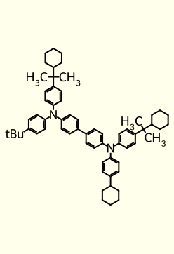 CC(C)(C)c1ccc(N(c2ccc(-c3ccc(N(c4ccc(C5CCCCC5)cc4)c4ccc(C(C)(C)C5CCCCC5)cc4)cc3)cc2)c2ccc(C(C)(C)C3CCCCC3)cc2)cc1